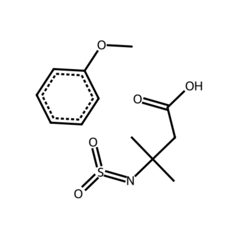 CC(C)(CC(=O)O)N=S(=O)=O.COc1ccccc1